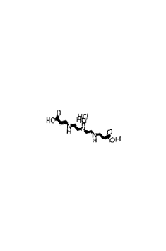 Cl.Cl.O=C(O)CCNCCNCCNCCC(=O)O